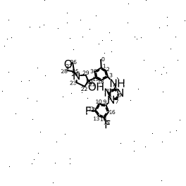 Cc1cc(Nc2ncn(-c3cc(F)cc(F)c3)n2)cc([C@@]2(O)CCN(C3COC3)C2)c1